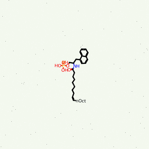 CCCCCCCC/C=C\CCCCCCCC(=O)NC(CO[PH](O)(O)O)Cc1cccc2ccccc12